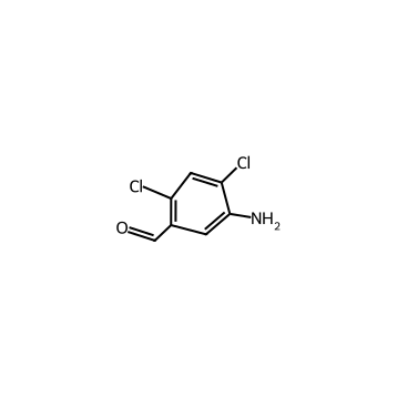 Nc1cc(C=O)c(Cl)cc1Cl